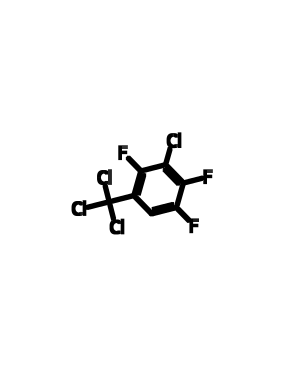 Fc1cc(C(Cl)(Cl)Cl)c(F)c(Cl)c1F